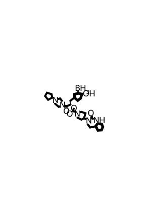 Bc1cc(C[C@@H](OC(=O)N2CCC(N3CCc4ccccc4NC3=O)CC2)C(=O)N2CCN(C3CCCC3)CC2)ccc1O